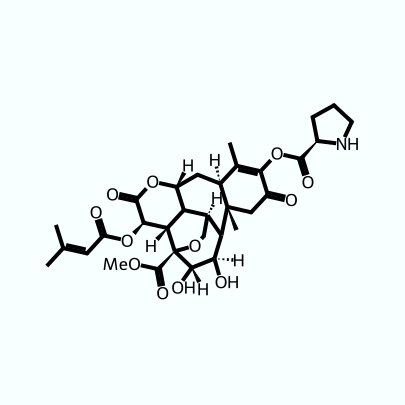 COC(=O)[C@@]12OC[C@H]3C4[C@@H](C[C@H]5C(C)=C(OC(=O)[C@H]6CCCN6)C(=O)C[C@]5(C)C3[C@@H](O)[C@@H]1O)OC(=O)[C@H](OC(=O)C=C(C)C)[C@H]42